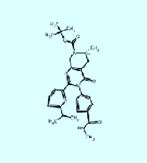 CNC(=O)c1ccc(-n2c(-c3cccc(C(C)C)n3)nc3c(c2=O)C[C@@H](C)N(C(=O)OC(C)(C)C)C3)cc1